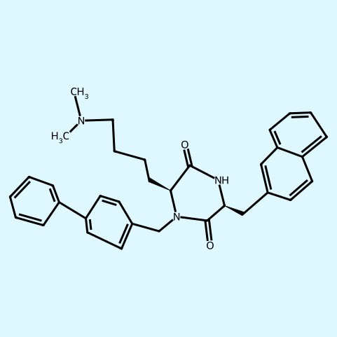 CN(C)CCCC[C@H]1C(=O)N[C@@H](Cc2ccc3ccccc3c2)C(=O)N1Cc1ccc(-c2ccccc2)cc1